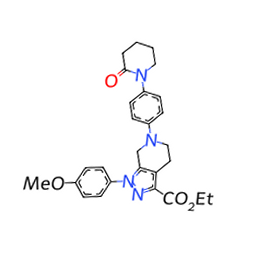 CCOC(=O)c1nn(-c2ccc(OC)cc2)c2c1CCN(c1ccc(N3CCCCC3=O)cc1)C2